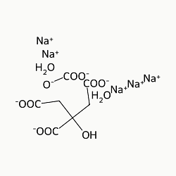 O.O.O=C([O-])CC(O)(CC(=O)[O-])C(=O)[O-].O=C([O-])[O-].[Na+].[Na+].[Na+].[Na+].[Na+]